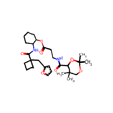 CC1(C)OCC(C)(C)C(C(=O)NCCC(=O)OC2CCCCC2NC(=O)C2(Cc3ccco3)CCC2)O1